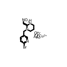 CC(=O)[O-].CC(=O)[O-].O=[N+]([O-])C=C1NCCCN1Cc1ccc(Br)nc1.[Cu+2]